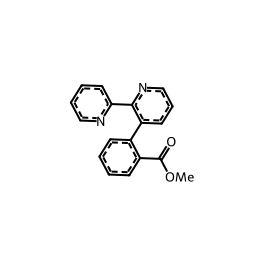 COC(=O)c1ccccc1-c1cccnc1-c1ccccn1